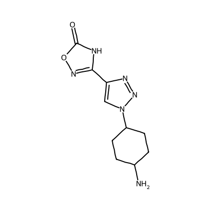 NC1CCC(n2cc(-c3noc(=O)[nH]3)nn2)CC1